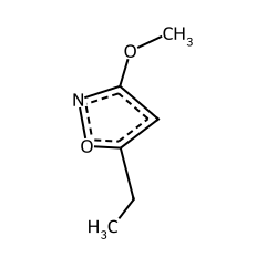 CCc1cc(OC)no1